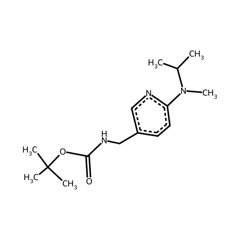 CC(C)N(C)c1ccc(CNC(=O)OC(C)(C)C)cn1